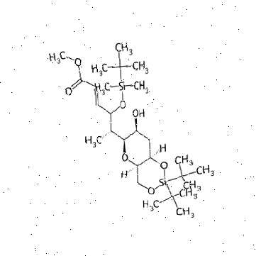 COC(=O)/C=C/C(O[Si](C)(C)C(C)(C)C)[C@@H](C)[C@@H]1O[C@@H]2CO[Si](C(C)(C)C)(C(C)(C)C)O[C@@H]2C[C@@H]1O